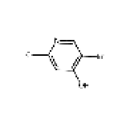 Oc1cc(Cl)ncc1Br